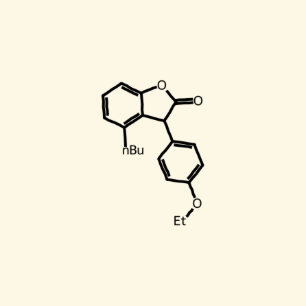 CCCCc1cccc2c1C(c1ccc(OCC)cc1)C(=O)O2